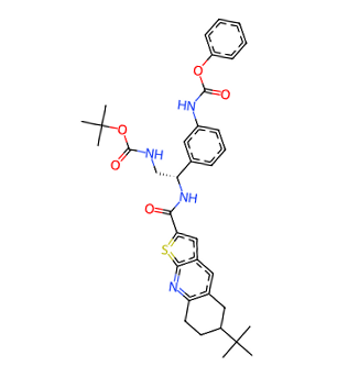 CC(C)(C)OC(=O)NC[C@@H](NC(=O)c1cc2cc3c(nc2s1)CCC(C(C)(C)C)C3)c1cccc(NC(=O)Oc2ccccc2)c1